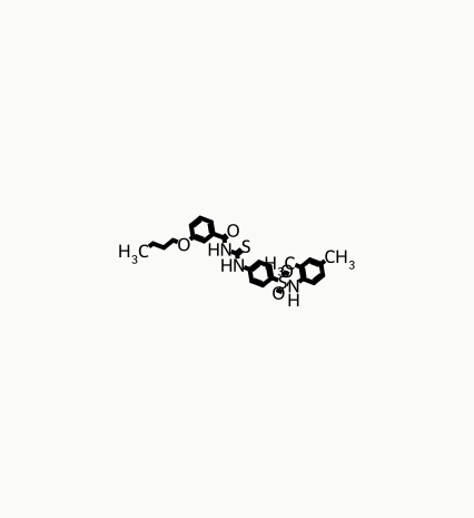 CCCCOc1cccc(C(=O)NC(=S)Nc2ccc(S(=O)(=O)Nc3ccc(C)cc3C)cc2)c1